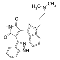 CN(C)CCCn1nc(C2=C(c3n[nH]c4ccccc34)C(=O)NC2=O)c2ccccc21